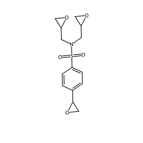 O=S(=O)(c1ccc(C2CO2)cc1)N(CC1CO1)CC1CO1